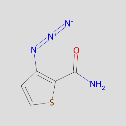 [N-]=[N+]=Nc1ccsc1C(N)=O